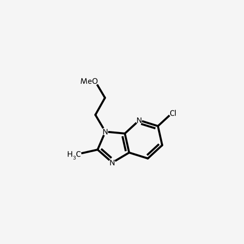 COCCn1c(C)nc2ccc(Cl)nc21